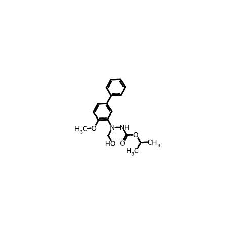 COc1ccc(-c2ccccc2)cc1N(CO)NC(=O)OC(C)C